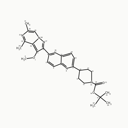 COc1c(-c2ccc3nc(C4CCN(C(=O)OC(C)(C)C)CC4)ccc3n2)nn2cc(C)nc(C)c12